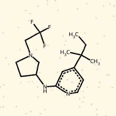 CCC(C)(C)c1ccnc(NC2CCN(CC(F)(F)F)C2)c1